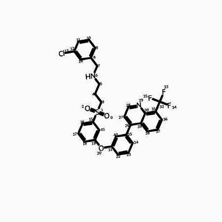 O=S(=O)(CCCNCc1cccc(Cl)c1)c1cccc(Oc2cccc(-c3ccnc4c(C(F)(F)F)cccc34)c2)c1